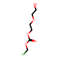 O=C(OCCl)OCCOCCO